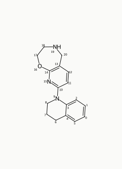 c1ccc2c(c1)CCCN2c1ccc2c(n1)OCCNC2